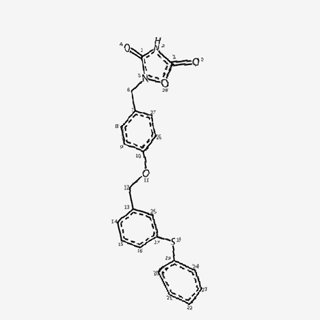 O=c1[nH]c(=O)n(Cc2ccc(OCc3cccc(Sc4ccccc4)c3)cc2)o1